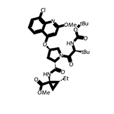 CC[C@@H]1C[C@]1(NC(=O)[C@@H]1C[C@@H](Oc2cc(OC)nc3c(Cl)cccc23)CN1C(=O)[C@@H](NC(=O)OC(C)(C)C)C(C)(C)C)C(=O)OC